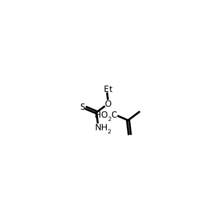 C=C(C)C(=O)O.CCOC(N)=S